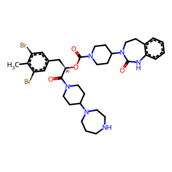 Cc1c(Br)cc(C[C@@H](OC(=O)N2CCC(N3CCc4ccccc4NC3=O)CC2)C(=O)N2CCC(N3CCCNCC3)CC2)cc1Br